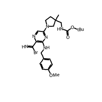 COc1ccc(CNc2nc(N3CCC(C)(CNC(=O)OC(C)(C)C)C3)cnc2C(=N)Br)cc1